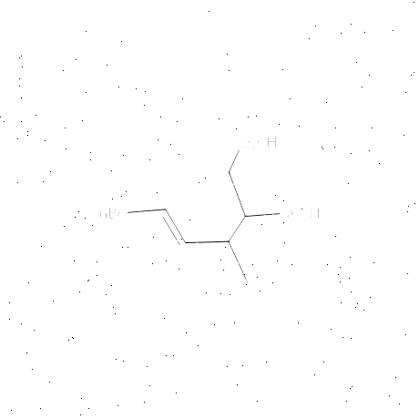 CCCCC=CC(C)C(CS(=O)(=O)O)S(=O)(=O)O